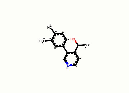 CCCC(O)c1ccncc1-c1ccc(C#N)c(C)c1